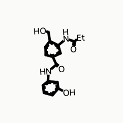 CCC(=O)Nc1cc(C(=O)Nc2cccc(O)c2)ccc1CO